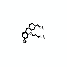 C=CCCOc1cc(N)ccc1CN1CCN(CC)CC1